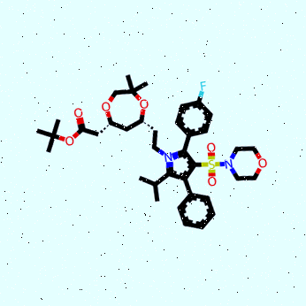 CC(C)c1c(-c2ccccc2)c(S(=O)(=O)N2CCOCC2)c(-c2ccc(F)cc2)n1CC[C@@H]1C[C@H](CC(=O)OC(C)(C)C)OCC(C)(C)O1